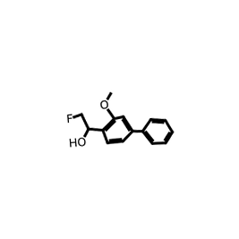 COc1cc(-c2ccccc2)ccc1C(O)CF